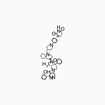 CN(C(=O)C1(c2ccccc2)CCN(c2cnnc(-c3ccccc3O)c2)CC1)[C@@H]1CCN(CC2CCN(c3ccc([C@H]4CCC(=O)NC4=O)cc3)CC2)C2(CCCCC2)C1